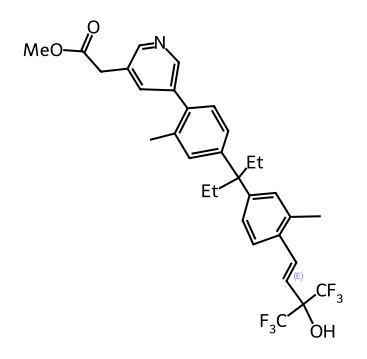 CCC(CC)(c1ccc(/C=C/C(O)(C(F)(F)F)C(F)(F)F)c(C)c1)c1ccc(-c2cncc(CC(=O)OC)c2)c(C)c1